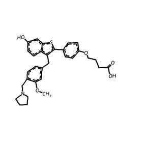 COc1cc(Cc2c(-c3ccc(OCCCC(=O)O)cc3)sc3cc(O)ccc23)ccc1CN1CCCC1